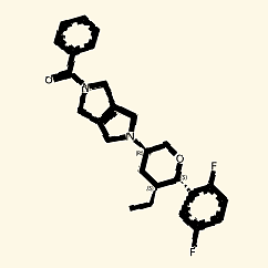 CC[C@H]1C[C@@H](N2CC3=C(CN(C(=O)c4ccccc4)C3)C2)CO[C@@H]1c1cc(F)ccc1F